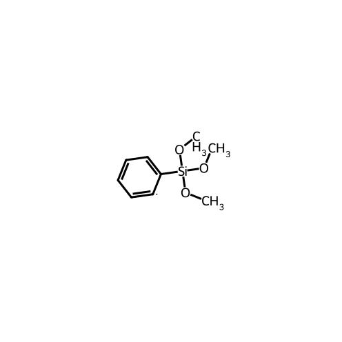 CO[Si](OC)(OC)c1[c]cccc1